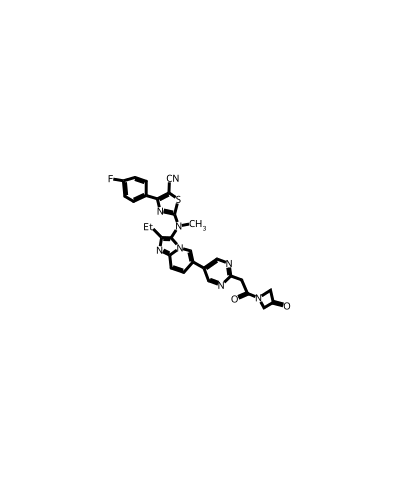 CCc1nc2ccc(-c3cnc(CC(=O)N4CC(=O)C4)nc3)cn2c1N(C)c1nc(-c2ccc(F)cc2)c(C#N)s1